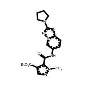 CCOC(=O)c1cnn(C)c1C(=O)Nc1ccc2nc(N3CCCC3)nn2c1